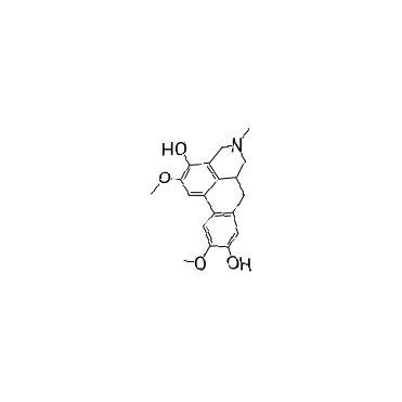 COc1cc2c(cc1O)CC1CN(C)Cc3c(O)c(OC)cc-2c31